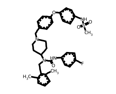 Cc1cccc(C)c1CN(C(=O)Nc1ccc(F)cc1)C1CCN(Cc2ccc(Oc3ccc(NS(C)(=O)=O)cc3)cc2)CC1